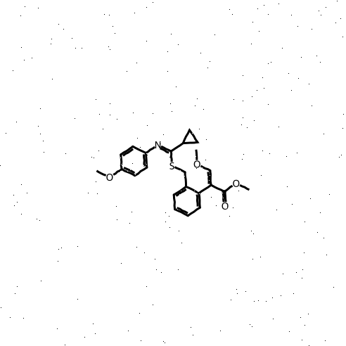 CO/C=C(/C(=O)OC)c1ccccc1CS/C(=N\c1ccc(OC)cc1)C1CC1